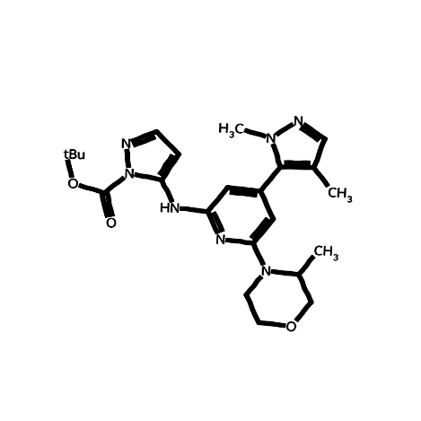 Cc1cnn(C)c1-c1cc(Nc2ccnn2C(=O)OC(C)(C)C)nc(N2CCOCC2C)c1